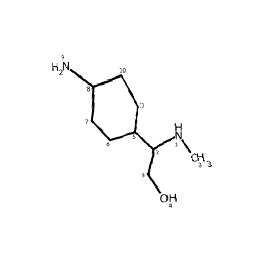 CNC(CO)C1CCC(N)CC1